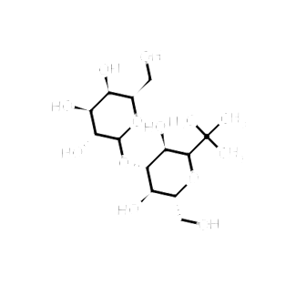 CC(C)(C)C1O[C@H](CO)[C@@H](O)[C@H](OC2O[C@H](CO)[C@H](O)[C@H](O)[C@H]2O)[C@H]1O